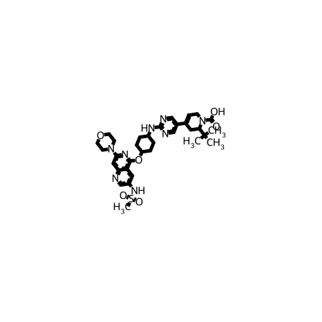 CC(C)(C)C1CC(c2cnc(NC3CCC(Oc4nc(N5CCOCC5)cc5ncc(NS(C)(=O)=O)cc45)CC3)nc2)=CCN1C(=O)O